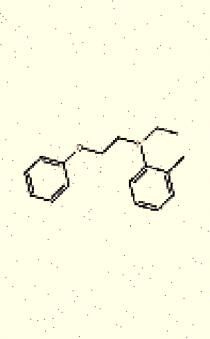 CCN(CCOc1ccccc1)c1ccccc1C